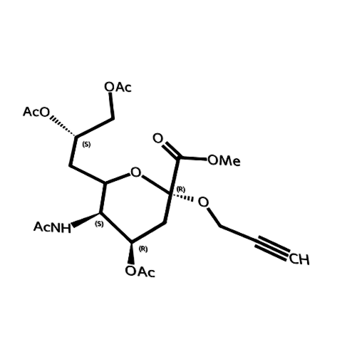 C#CCO[C@]1(C(=O)OC)C[C@@H](OC(C)=O)[C@@H](NC(C)=O)C(C[C@@H](COC(C)=O)OC(C)=O)O1